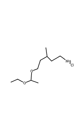 CCOC(C)OCCC(C)C[CH2][Mg][Cl]